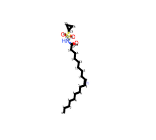 CCCCCCCC/C=C\CCCCCCCC(=O)NS(=O)(=O)C1CC1